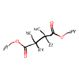 CCC(C#N)(C(=O)OC(C)C)C(C#N)(CC)C(=O)OC(C)C